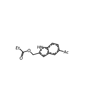 CCC(=O)OCc1cc2cc(C(C)=O)ccc2[nH]1